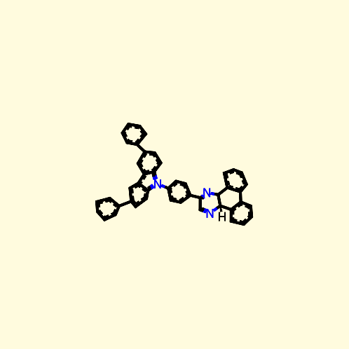 C1=N[C@H]2c3ccccc3-c3ccccc3C2N=C1c1ccc(-n2c3ccc(-c4ccccc4)cc3c3cc(-c4ccccc4)ccc32)cc1